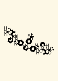 COC(=O)N[C@H](C(=O)N1CCC[C@H]1c1nc2cc([C@H]3CC[C@H](c4ccc5[nH]c([C@@H]6CCCN6C(=O)[C@@H](NC(=O)O)C(C)C)nc5c4)N3c3ccc(C(F)(F)F)cc3)ccc2[nH]1)C(C)C